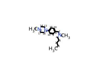 CCCCCN(C)Cc1ccc(N2CCN(C)CC2)cc1